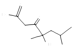 CC(C)CC(C)(O)C(=O)CC(=O)O